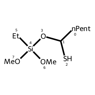 CCCCCC(S)O[Si](CC)(OC)OC